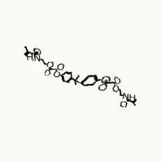 C=C(C)C(=O)NCCOC(=O)C(=O)Oc1ccc(C(C)(C)c2ccc(OC(=O)C(=O)OCCNC(=O)C(=C)C)cc2)cc1